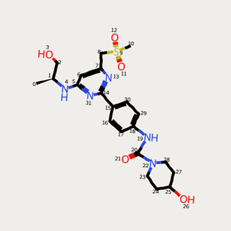 C[C@@H](CO)Nc1cc(CS(C)(=O)=O)nc(-c2ccc(NC(=O)N3CCC(O)CC3)cc2)n1